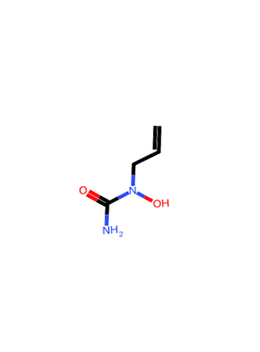 C=CCN(O)C(N)=O